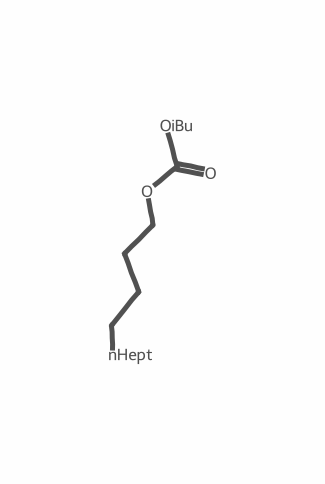 CCCCCCCCCCCOC(=O)OCC(C)C